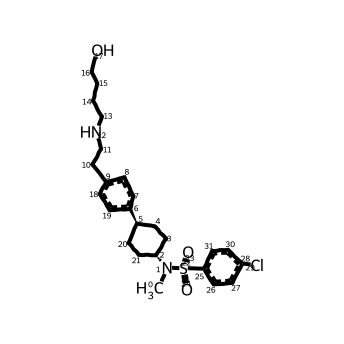 CN([C@H]1CC[C@H](c2ccc(CCNCCCCO)cc2)CC1)S(=O)(=O)c1ccc(Cl)cc1